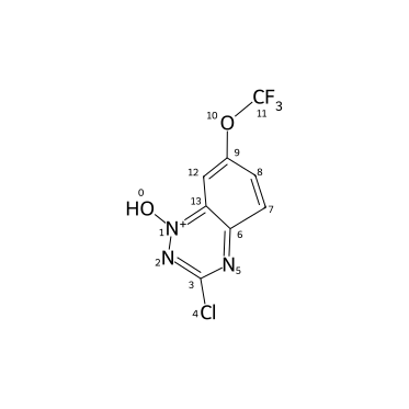 O[n+]1nc(Cl)nc2ccc(OC(F)(F)F)cc21